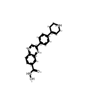 O=C(NO)c1ccc2ncc(-c3ccc(C4=CCNCC4)cc3)nc2c1